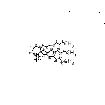 CCCCCCCCC1CCCNC(=O)C1(CCCCCCCC)CCCCCCCC